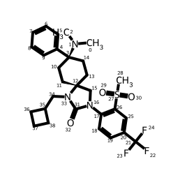 CN(C)[C@]1(c2ccccc2)CC[C@@]2(CC1)CN(c1ccc(C(F)(F)F)cc1S(C)(=O)=O)C(=O)N2CC1CCC1